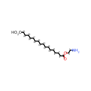 NCCOC(=O)CCCCCCCCCCCCCCCCC(=O)O